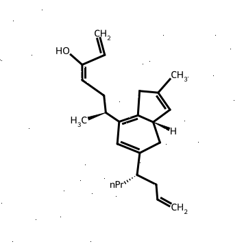 C=CC[C@H](CCC)C1=CC([C@@H](C)C/C=C(/O)C=C)=C2CC(C)=C[C@@H]2C1